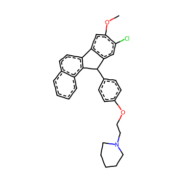 COc1cc2c(cc1Cl)C(c1ccc(OCCN3CCCCC3)cc1)c1c-2ccc2ccccc12